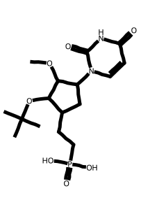 COC1C(OC(C)(C)C)C(CCP(=O)(O)O)CC1n1ccc(=O)[nH]c1=O